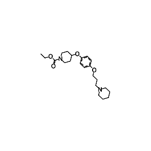 CCOC(=O)N1CCC(Oc2ccc(OCCCN3CCCCC3)cc2)CC1